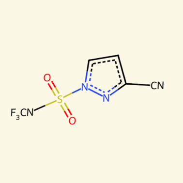 N#Cc1ccn(S(=O)(=O)NC(F)(F)F)n1